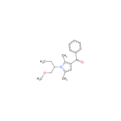 CCC(COC)n1c(C)cc(C(=O)c2ccccc2)c1C